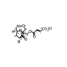 CCOC(=O)/C=C/C(=O)OC[C@@]1(COC)C(=O)[C@H]2CCN1[C@H](C)C2